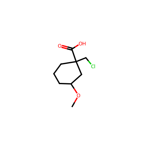 COC1CCCC(CCl)(C(=O)O)C1